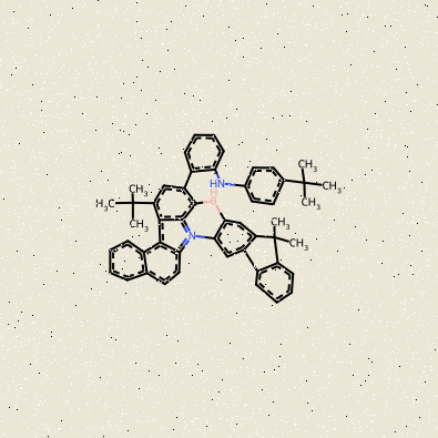 CC(C)(C)c1ccc(Nc2ccccc2-c2cc(C(C)(C)C)c3c4c5ccccc5ccc4n4c3c2Bc2cc3c(cc2-4)-c2ccccc2C3(C)C)cc1